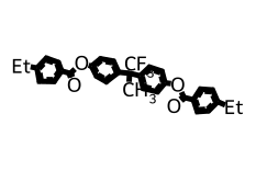 CCc1ccc(C(=O)Oc2ccc(C(C)(c3ccc(OC(=O)c4ccc(CC)cc4)cc3)C(F)(F)F)cc2)cc1